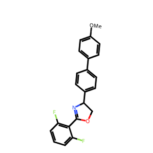 COc1ccc(-c2ccc(C3COC(c4c(F)cccc4F)=N3)cc2)cc1